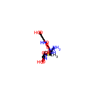 CC(=O)[C@H](Cc1ccc(OCC(=O)O)cc1)NC(=O)CSC[C@H](C)C(=O)N[C@@H](CCCCN)C(=O)NCCOCCOCC(=O)NCCCCCCCCCCC(=O)O